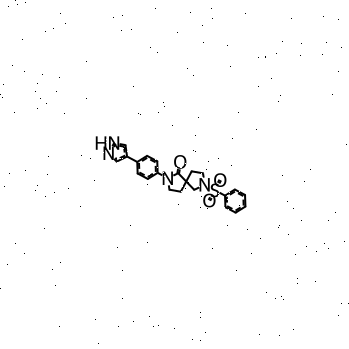 O=C1N(c2ccc(-c3cn[nH]c3)cc2)CCC12CCN(S(=O)(=O)c1ccccc1)C2